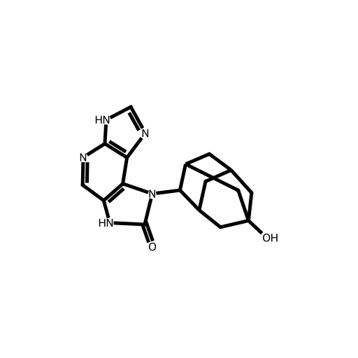 O=c1[nH]c2cnc3[nH]cnc3c2n1C1C2CC3CC1CC(O)(C3)C2